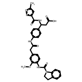 COc1cc(CC(=O)Nc2ccc(C(CC(=O)O)NC(=O)c3cc(C)on3)cc2)ccc1NC(=O)N1CCc2ccccc21